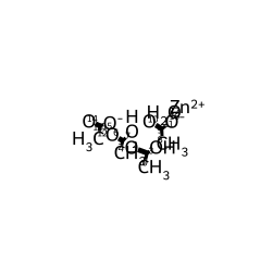 CC(=O)O.CC(=O)O.CC(=O)[O-].CC(=O)[O-].O.[Zn+2]